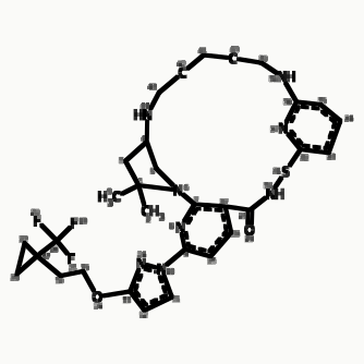 CC1(C)CC2CN1c1nc(-n3ccc(OCCC4(C(F)(F)F)CC4)n3)ccc1C(=O)NSc1cccc(n1)NCCCCCN2